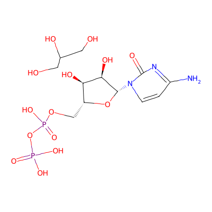 Nc1ccn([C@@H]2O[C@H](COP(=O)(O)OP(=O)(O)O)[C@@H](O)[C@H]2O)c(=O)n1.OCC(O)CO